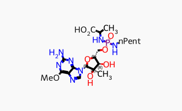 CCCCCNP(=O)(NC(C)C(=O)O)OC[C@H]1O[C@@H](n2cnc3c(OC)nc(N)nc32)[C@](C)(O)[C@@H]1O